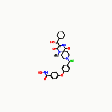 CCCCN1C(=O)[C@@H]([C@H](O)C2CCCCC2)NC(=O)C12CCN(Cc1ccc(Oc3ccc(C(=O)NO)cc3)cc1)CC2.Cl